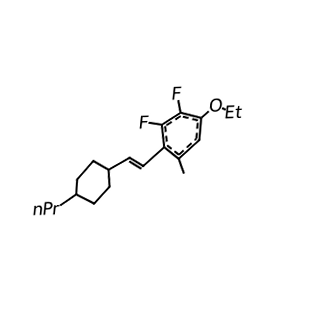 CCCC1CCC(C=Cc2c(C)cc(OCC)c(F)c2F)CC1